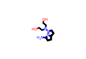 Nc1ccc2ccn(N(CCO)CCO)n12